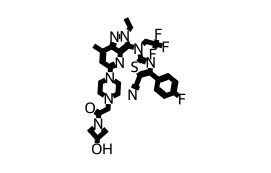 CCn1nc2c(C)cc(N3CCN(CC(=O)N4CC(O)C4)CC3)nc2c1N(CC(F)(F)F)c1nc(-c2ccc(F)cc2)c(C#N)s1